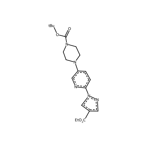 CCOC(=O)c1cnn(-c2ccc(N3CCN(C(=O)OC(C)(C)C)CC3)cn2)c1